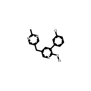 CCOc1ncc(Cc2cnc(C)nc2)cc1-c1cccc(Cl)c1